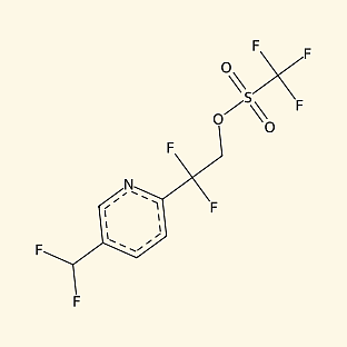 O=S(=O)(OCC(F)(F)c1ccc(C(F)F)cn1)C(F)(F)F